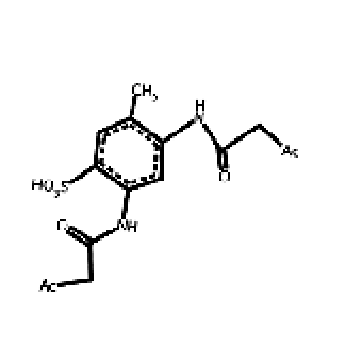 CC(=O)CC(=O)Nc1cc(NC(=O)CC(C)=O)c(S(=O)(=O)O)cc1C